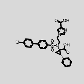 O=C(O)c1cn(CCN([C@]2(C(=O)O)C[C@H]2c2ccccc2)S(=O)(=O)c2ccc(-c3ccc(Cl)cc3)cc2)cn1